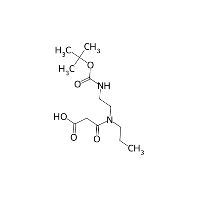 CCCN(CCNC(=O)OC(C)(C)C)C(=O)CC(=O)O